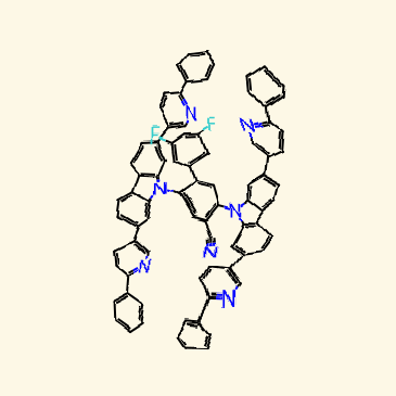 N#Cc1cc(-n2c3cc(-c4ccc(-c5ccccc5)nc4)ccc3c3ccc(-c4ccc(-c5ccccc5)nc4)cc32)c(-c2cc(F)cc(F)c2)cc1-n1c2cc(-c3ccc(-c4ccccc4)nc3)ccc2c2ccc(-c3ccc(-c4ccccc4)nc3)cc21